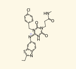 CCc1nc2ccc(/N=c3\[nH]c(=O)n(CCC(=O)NC)c(=O)n3Cc3ccc(Cl)cc3)cc2s1